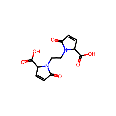 O=C(O)C1C=CC(=O)N1CCN1C(=O)C=CC1C(=O)O